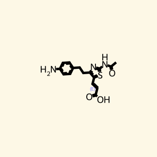 CC(=O)Nc1nc(CCc2ccc(N)cc2)c(/C=C/C(=O)O)s1